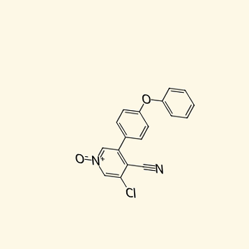 N#Cc1c(Cl)c[n+]([O-])cc1-c1ccc(Oc2ccccc2)cc1